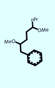 CCCC(CCC(Cc1ccccc1)OC)OC